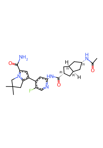 CC(=O)N[C@H]1C[C@@H]2C[C@@H](C(=O)Nc3cc(-c4cc(C(N)=O)n5c4CC(C)(C)C5)c(F)cn3)C[C@@H]2C1